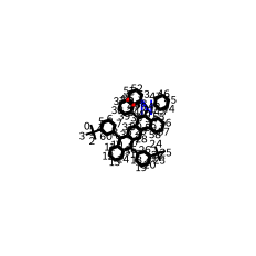 CC(C)(C)c1cccc(-c2c3ccccc3c(-c3cccc(C(C)(C)C)c3)c3cc4c(cc23)c(-c2ccccc2)c(N(c2ccccc2)c2ccccc2)c2ccccc24)c1